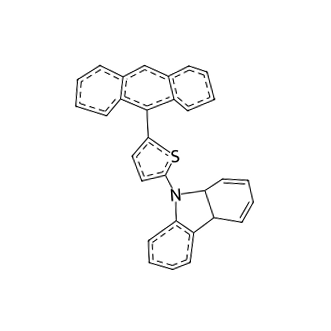 C1=CC2c3ccccc3N(c3ccc(-c4c5ccccc5cc5ccccc45)s3)C2C=C1